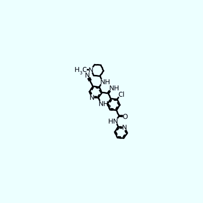 CN1CCCC(Nc2c(C#N)cnc(N)c2C(=N)c2ccc(C(=O)Nc3ccccn3)cc2Cl)C1